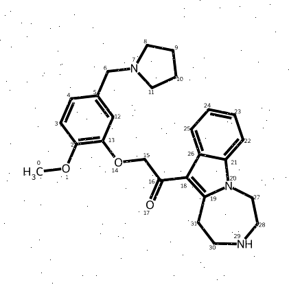 COc1ccc(CN2CCCC2)cc1OCC(=O)c1c2n(c3ccccc13)CCNCC2